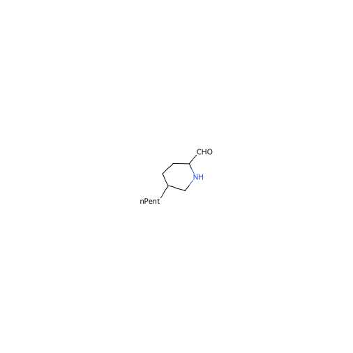 CCCCCC1CCC(C=O)NC1